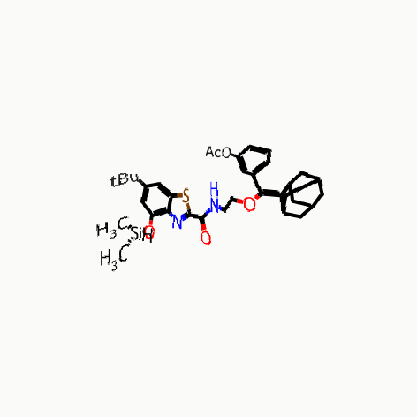 CC(=O)Oc1cccc(C(OCCNC(=O)c2nc3c(O[SiH](C)C)cc(C(C)(C)C)cc3s2)=C2C3CC4CC(C3)CC2C4)c1